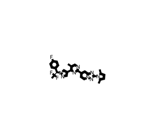 Cc1cnc(-c2ccn3nc(-n4c(C)ccc4C)nc3c2)nc1-c1cnn([C@H](c2ccc(F)cc2)C(C)(F)F)c1